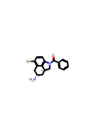 N[C@@H]1Cc2c(Br)ccc3c2[C@@H](C1)CN3C(=O)c1ccccc1